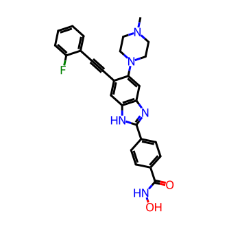 CN1CCN(c2cc3nc(-c4ccc(C(=O)NO)cc4)[nH]c3cc2C#Cc2ccccc2F)CC1